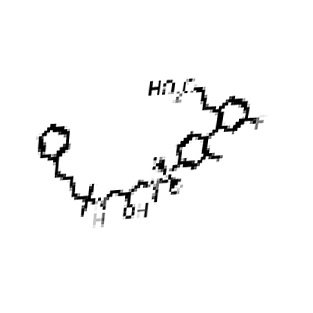 Cc1cc(S(=O)(=O)N(C)CC(O)CNC(C)(C)CCCc2ccccc2)ccc1-c1cc(F)ccc1CCC(=O)O